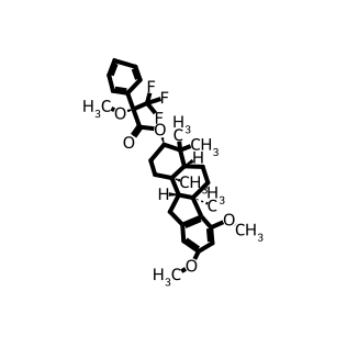 COc1cc2c(c(OC)c1)[C@]1(C)CC[C@H]3C(C)(C)[C@@H](OC(=O)[C@@](OC)(c4ccccc4)C(F)(F)F)CC[C@]3(C)[C@H]1C2